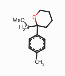 CO[SiH2]C1(c2ccc(C)cc2)CCCCO1